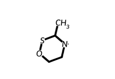 CC1[N]CCOS1